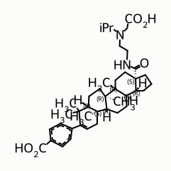 CC(C)N(CCNC(=O)[C@]12CCC[C@@H]1[C@H]1CC[C@@H]3[C@@]4(C)CC=C(c5ccc(C(=O)O)cc5)C(C)(C)[C@@H]4CC[C@@]3(C)[C@]1(C)CC2)CC(=O)O